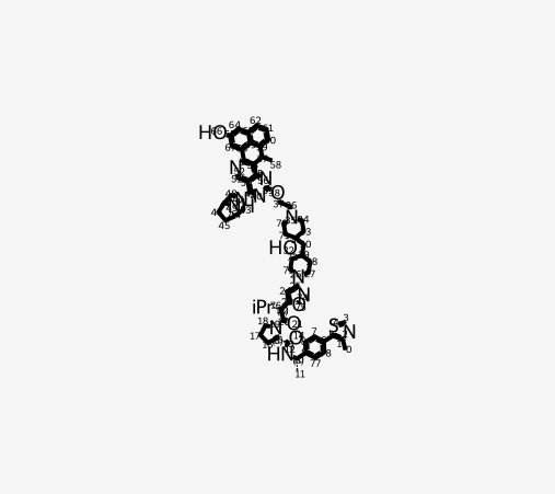 Cc1ncsc1-c1ccc([C@H](C)NC(=O)[C@@H]2CCCN2C(=O)[C@@H](c2cc(N3CCC(CC4(O)CCN(CCOc5nc(N6CC7CCC(C6)N7)c6cnc7c(c6n5)C(C)c5cccc6cc(O)cc-7c56)CC4)CC3)no2)C(C)C)cc1